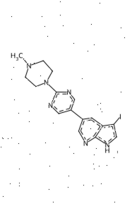 CN1CCN(c2ncc(-c3cnc4[nH]cc(I)c4c3)cn2)CC1